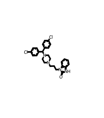 O=c1[nH]c2ccccc2n1CCCN1CCN(C(c2ccc(Cl)cc2)c2ccc(Cl)cc2)CC1